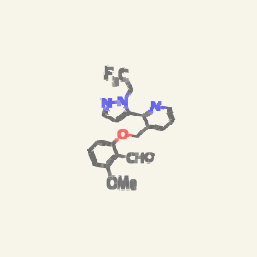 COc1cccc(OCc2cccnc2-c2ccnn2CC(F)(F)F)c1C=O